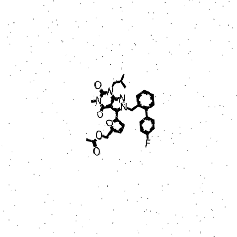 CC(=O)OCc1ccc(-c2c3c(=O)n(C)c(=O)n(CC(C)C)c3nn2Cc2ccccc2-c2ccc(F)cc2)o1